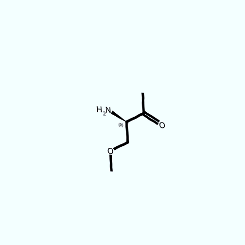 COC[C@@H](N)C(C)=O